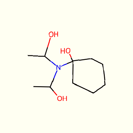 CC(O)N(C(C)O)C1(O)CCCCC1